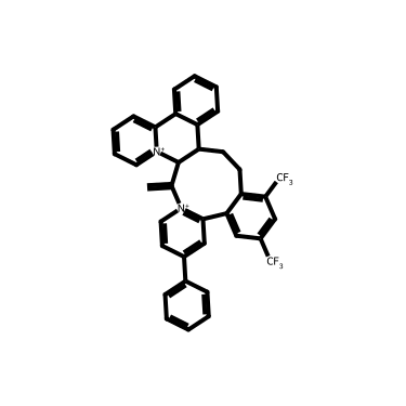 C=C1C2C(CCc3c(cc(C(F)(F)F)cc3C(F)(F)F)-c3cc(-c4ccccc4)cc[n+]31)c1ccccc1-c1cccc[n+]12